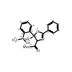 COC(=O)C1N=C(c2ccccc2)O[C@@]1(C=O)c1ccccc1N(C)C